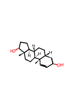 C[C@]12C=C[C@H](O)C[C@H]1CC[C@@H]1[C@@H]2CC[C@]2(C)[C@@H](O)CC[C@@H]12